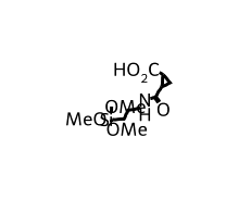 CO[Si](CCCNC(=O)C1CC1C(=O)O)(OC)OC